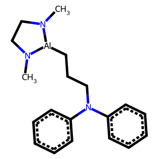 C[N]1CC[N](C)[Al]1[CH2]CCN(c1ccccc1)c1ccccc1